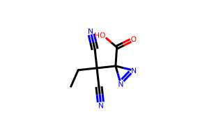 CCC(C#N)(C#N)C1(C(=O)O)N=N1